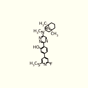 CSc1cc(-c2ccc(-c3ncc(N(C)[C@H]4C[C@]5(C)CCC[C@](C)(C4)N5)nn3)c(O)c2)cc(F)n1